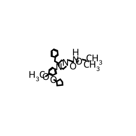 COc1ccc(N2CCN(CC(=O)NOCC(C)C)CC2Cc2ccccc2)cc1OC1CCCC1